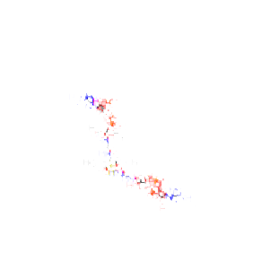 CC(C)(COP(=O)(O)OP(=O)(O)OC[C@H]1O[C@@H](n2cnc3c(N)ncnc32)[C@H](O)[C@@H]1OP(=O)(O)O)C(O)C(=O)NCCC(=O)NCC[SH](C(=O)C(=O)O)[SH](CCNC(=O)CCNC(=O)C(O)C(C)(C)COP(=O)(O)OP(=O)(O)OC[C@H]1O[C@@H](n2cnc3c(N)ncnc32)[C@H](O)[C@@H]1OP(=O)(O)O)C(=O)C(=O)O